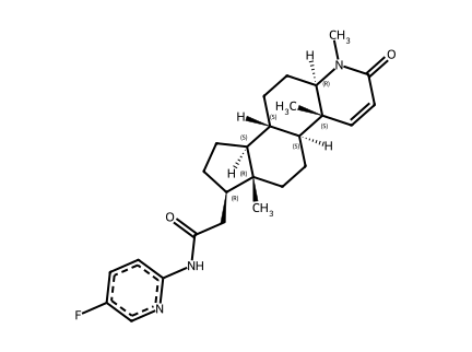 CN1C(=O)C=C[C@]2(C)[C@H]3CC[C@]4(C)[C@@H](CC(=O)Nc5ccc(F)cn5)CC[C@H]4[C@@H]3CC[C@@H]12